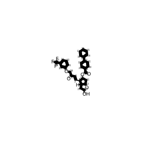 O=C(/C=C/[C@H]1[C@H](OC(=O)c2ccc(-c3ccccc3)cc2)CC2O[C@@H](O)C[C@@H]21)COc1cccc(C(F)(F)F)c1